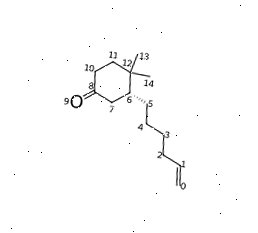 C=CCCCC[C@@H]1CC(=O)CCC1(C)C